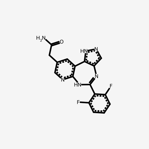 NC(=O)Cc1cnc2c(c1)-c1[nH]ncc1N=C(c1c(F)cccc1F)N2